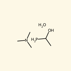 CC(O)P.CN(C)C.O